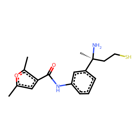 Cc1cc(C(=O)Nc2cccc([C@@](C)(N)CCS)c2)c(C)o1